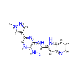 Cn1cc(-c2cnc(N)c(NCc3cc4ncccc4[nH]3)n2)cn1